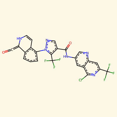 O=C=C1NC=Cc2c1cccc2-n1ncc(C(=O)Nc2cnc3cc(C(F)(F)F)nc(Cl)c3c2)c1C(F)(F)F